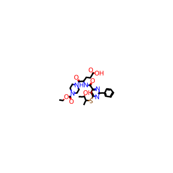 CCOC(=O)N1CCN(C(=O)C(CCC(=O)O)NC(=O)c2cc(SC(C)C(C)O)nc(-c3ccccc3)n2)CC1